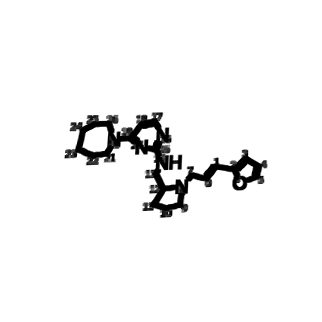 C(=Cc1ccco1)CN1CCCC1CNc1nccc(N2CCCCCC2)n1